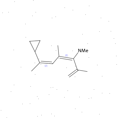 C=C(C)/C(NC)=C(C)\C=C(\C)C1CC1